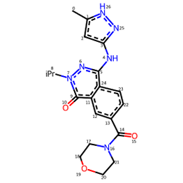 Cc1cc(Nc2nn(C(C)C)c(=O)c3cc(C(=O)N4CCOCC4)ccc23)n[nH]1